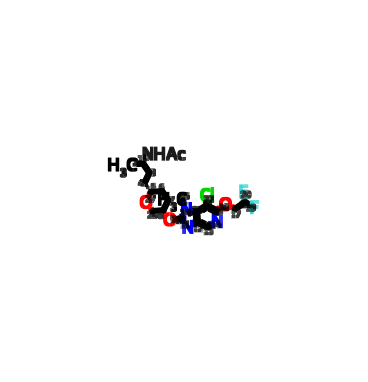 CC(=O)N[C@@H](C)CC[C@@H]1CC[C@@H](Oc2nc3cnc(OCC(F)F)c(Cl)c3n2C)CO1